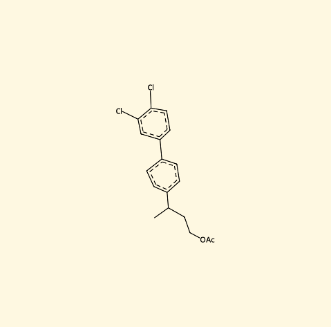 CC(=O)OCCC(C)c1ccc(-c2ccc(Cl)c(Cl)c2)cc1